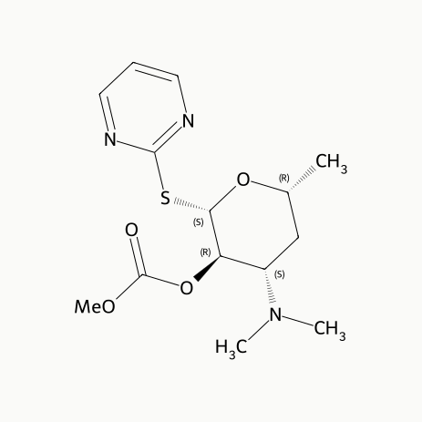 COC(=O)O[C@H]1[C@H](Sc2ncccn2)O[C@H](C)C[C@@H]1N(C)C